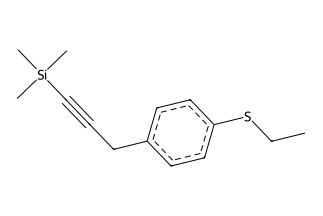 CCSc1ccc(CC#C[Si](C)(C)C)cc1